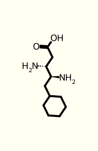 N[C@H](CC(=O)O)[C@@H](N)CC1CCCCC1